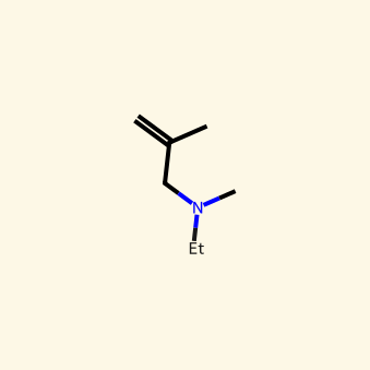 C=C(C)CN(C)CC